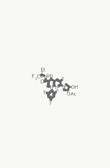 CC[C@H](NC(=O)c1cn(-c2c(F)cc(F)cc2F)c2nc(N3C[C@@H](O)[C@H](OC(C)=O)C3)c(F)cc2c1=O)C(F)(F)F